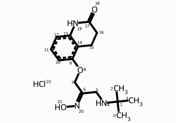 CC(C)(C)NC/C(COc1cccc2c1CCC(=O)N2)=N/O.Cl